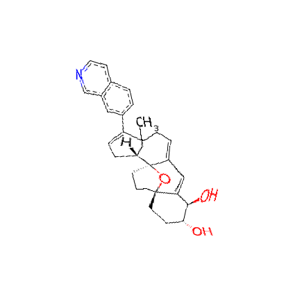 CC12CC=C3C=C4[C@@H](O)[C@H](O)CC[C@]45CC[C@]3(O5)[C@@H]1CC=C2c1ccc2ccncc2c1